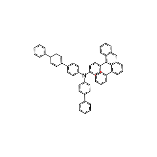 C1=CC(c2ccccc2)CC=C1c1ccc(N(c2ccc(-c3ccccc3)cc2)c2ccc(-c3c4ccccc4cc4cccc(-c5ccccc5)c34)cc2)cc1